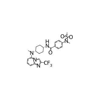 CN(c1ccc(C(=O)N[C@H]2CC[C@@H](N(C)c3cccc4nc(C(F)(F)F)cn34)CC2)cc1)S(C)(=O)=O